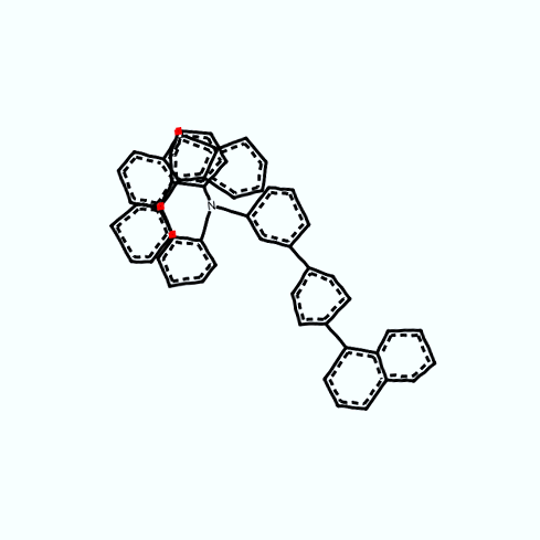 c1ccc(-c2ccccc2N(c2cccc(-c3ccc(-c4cccc5ccccc45)cc3)c2)c2ccccc2-c2cccc3oc4ccccc4c23)cc1